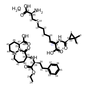 CC1(C)C[C@@H]1C(=O)N/C(=C\CCCCSC[C@H](N)C(=O)O)C(=O)O.CCOC(=O)[C@H](CCc1ccccc1)N[C@H]1CCCN2CCC[C@@H](C(=O)O)N2C1=O.O